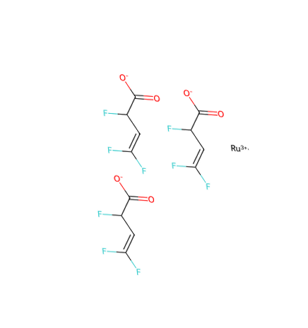 O=C([O-])C(F)C=C(F)F.O=C([O-])C(F)C=C(F)F.O=C([O-])C(F)C=C(F)F.[Ru+3]